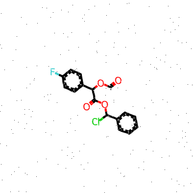 O=[C]OC(C(=O)OC(Cl)c1ccccc1)c1ccc(F)cc1